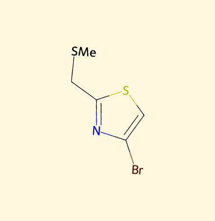 CSCc1nc(Br)cs1